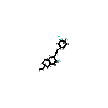 C=CC1CCc2cc(C#Cc3ccc(F)c(F)c3)c(F)cc2C1